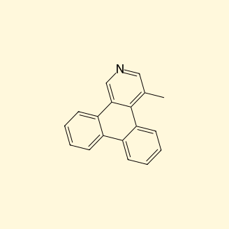 Cc1cncc2c3ccccc3c3ccccc3c12